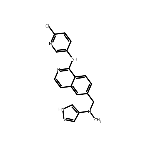 CN(Cc1ccc2c(Nc3ccc(Cl)nc3)nccc2c1)c1cn[nH]c1